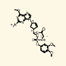 COc1ccc(OP(=O)(N[C@@H](C)C(=O)O)OC[C@@H]2C=C[C@H](n3cnc4c(OC)nc(N)nc43)C2)cc1OC